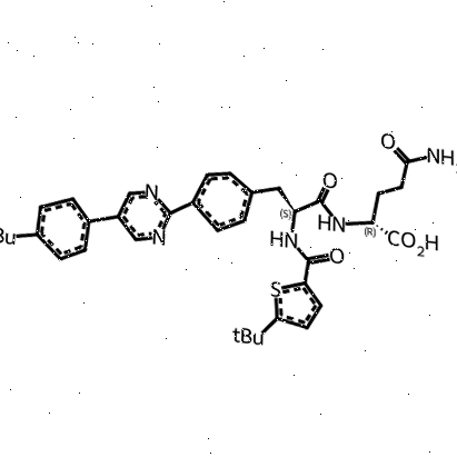 CC(C)(C)c1ccc(-c2cnc(-c3ccc(C[C@H](NC(=O)c4ccc(C(C)(C)C)s4)C(=O)N[C@H](CCC(N)=O)C(=O)O)cc3)nc2)cc1